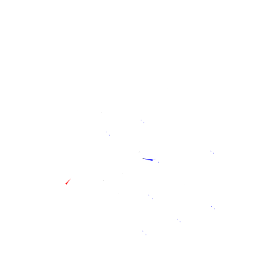 N#Cc1c(N)nc(N)nc1N[C@H](c1nc2c(Cl)cc(F)cc2c(=O)n1[C@H]1C[C@H](O)C1)C1CC1